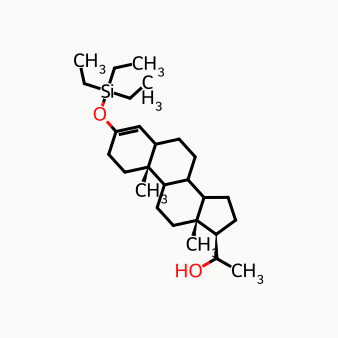 CC[Si](CC)(CC)OC1=CC2CCC3C(CC[C@]4(C)C3CC[C@H]4C(C)O)[C@]2(C)CC1